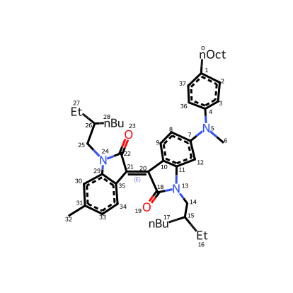 CCCCCCCCc1ccc(N(C)c2ccc3c(c2)N(CC(CC)CCCC)C(=O)/C3=C2/C(=O)N(CC(CC)CCCC)c3cc(C)ccc32)cc1